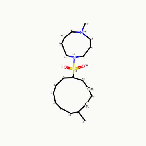 CC1CCCCCCC(S(=O)(=O)N2CCCCN(C)CCC2)CCCC1